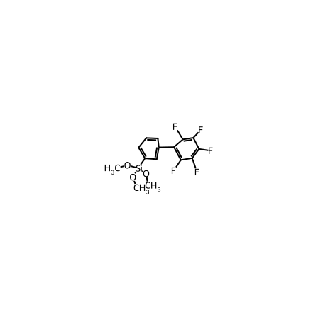 CO[Si](OC)(OC)c1cccc(-c2c(F)c(F)c(F)c(F)c2F)c1